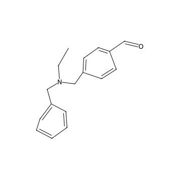 CCN(Cc1ccccc1)Cc1ccc(C=O)cc1